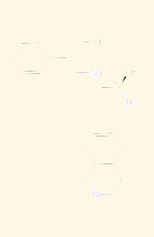 CO[C@H](CNC[C@@H](C)NS(=O)(=O)c1ccc2cnccc2c1)c1ccccc1